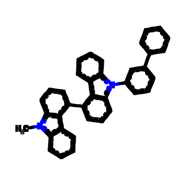 Cn1c2ccccc2c2c(-c3cccc4c3c3ccccc3n4-c3cccc(-c4ccccc4)c3)cccc21